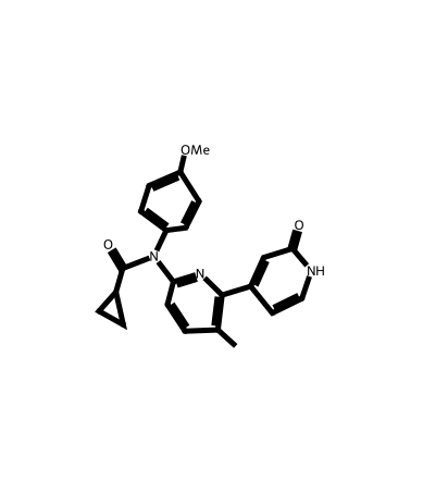 COc1ccc(N(C(=O)C2CC2)c2ccc(C)c(-c3cc[nH]c(=O)c3)n2)cc1